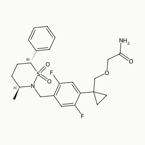 C[C@H]1CC[C@H](c2ccccc2)S(=O)(=O)N1Cc1cc(F)c(C2(COCC(N)=O)CC2)cc1F